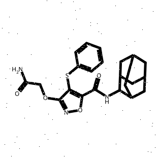 NC(=O)COc1noc(C(=O)NC2C3CC4CC(C3)CC2C4)c1Sc1ccccc1